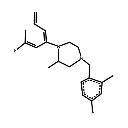 C=C/C=C(\C=C(/C)F)N1CCN(Cc2ccc(F)cc2C)CC1C